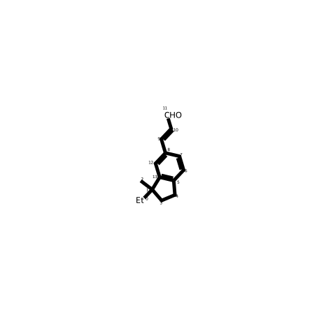 CCC1(C)CCc2ccc(C=CC=O)cc21